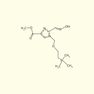 COC(=O)c1cn(COCC[Si](C)(C)C)c(C=NO)n1